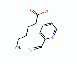 C=Cc1ccccn1.CCCCCC(=O)O